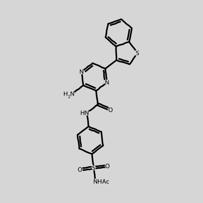 CC(=O)NS(=O)(=O)c1ccc(NC(=O)c2nc(-c3csc4ccccc34)cnc2N)cc1